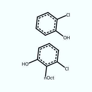 CCCCCCCCc1c(O)cccc1Cl.Oc1ccccc1Cl